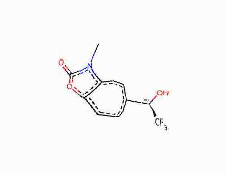 Cn1c(=O)oc2ccc([C@@H](O)C(F)(F)F)cc21